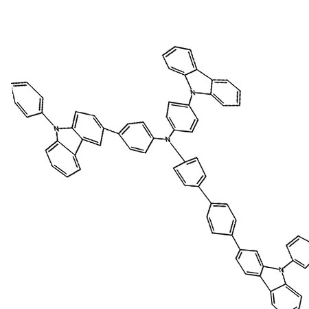 c1ccc(-n2c3ccccc3c3cc(-c4ccc(N(c5ccc(-c6ccc(-c7ccc8c9ccccc9n(-c9ccccc9)c8c7)cc6)cc5)c5ccc(-n6c7ccccc7c7ccccc76)cc5)cc4)ccc32)cc1